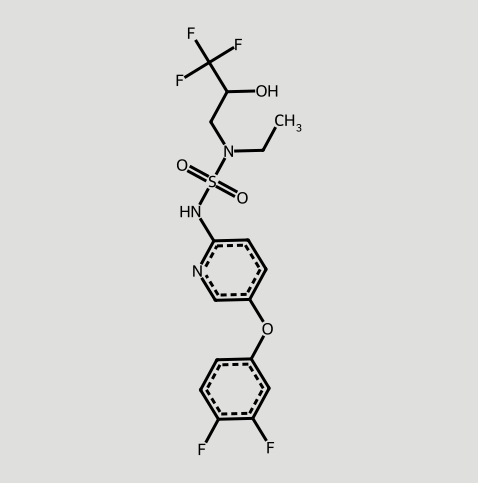 CCN(CC(O)C(F)(F)F)S(=O)(=O)Nc1ccc(Oc2ccc(F)c(F)c2)cn1